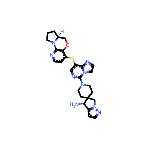 N[C@@H]1c2ccnn2CC12CCN(c1ncc(Sc3ccnc4c3OC[C@@H]3CCCN43)c3nccn13)CC2